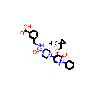 CC1(COc2c(N3CCN([S+]([O-])NCc4cccc(C(=O)O)c4)CC3)cnn(-c3ccccc3)c2=O)CC1